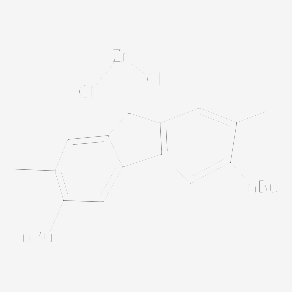 CCCCc1cc2c(cc1C)[CH]c1cc(C)c(CCCC)cc1-2.[Cl][Zr][Cl]